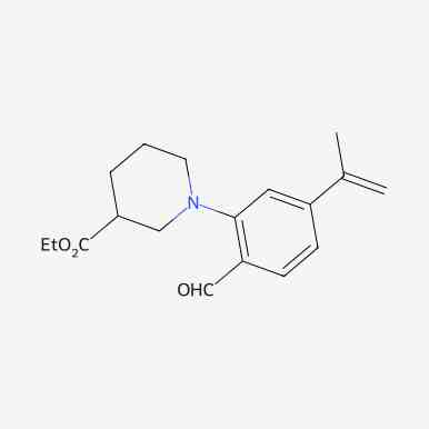 C=C(C)c1ccc(C=O)c(N2CCCC(C(=O)OCC)C2)c1